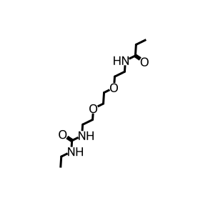 CCNC(=O)NCCOCCOCCNC(=O)CC